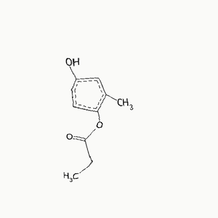 CCC(=O)Oc1ccc(O)cc1C